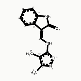 Cc1noc(NC=C2C(=O)Nc3ccccc32)c1C